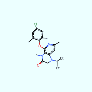 CCC(CC)N1CC(=O)N(C)c2c1cc(C)nc2Oc1c(C)cc(Cl)cc1C